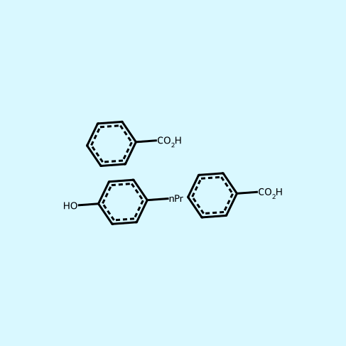 CCCc1ccc(O)cc1.O=C(O)c1ccccc1.O=C(O)c1ccccc1